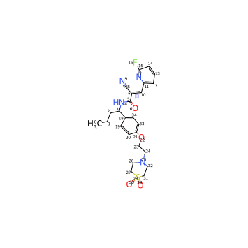 CCCC(NC(=O)/C(C#N)=C/c1cccc(F)n1)c1ccc(OCCN2CCS(=O)(=O)CC2)cc1